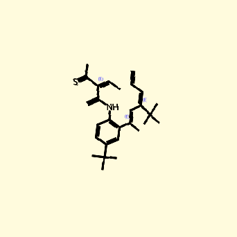 C=C/C=C(\C=C(/C)c1cc(C(C)(C)C)ccc1NC(=C)/C(=C\C)C(C)=S)C(C)(C)C